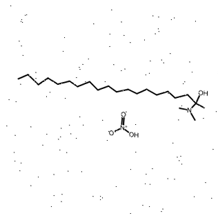 CCCCCCCCCCCCCCCCCCC(C)(O)N(C)C.O=[N+]([O-])O